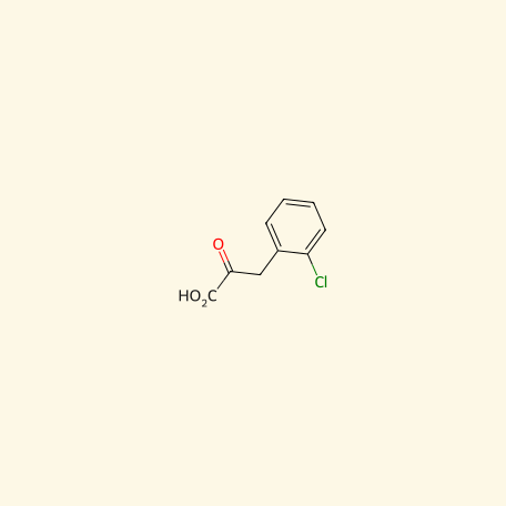 O=C(O)C(=O)Cc1ccccc1Cl